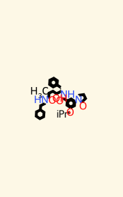 CC(C)Oc1cc(C(=O)N[C@@H](Cc2ccccc2)[C@@H](O)C[C@@H](C)C(=O)NCCC2CCCCC2)cc(N2CCCC2=O)c1